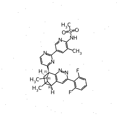 Cc1cc(-c2nccc([C@@]34CC[C@@H](c5cc(-c6c(F)cccc6F)nnc53)C(C)[C@H]4C)n2)cnc1NS(C)(=O)=O